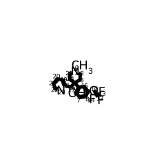 CN1CCC(c2cccc(OC(F)(F)F)c2)(C(O)c2ccccn2)CC1